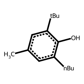 CCCCc1cc(C)cc(C(C)(C)C)c1O